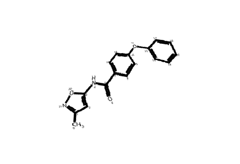 Cc1cc(NC(=O)c2ccc(Oc3ccccc3)cc2)on1